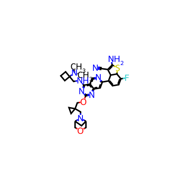 CN(C)C1(CNc2nc(OCC3(CN4C5COCC4C5)CC3)nc3cc(C4=CC=C(F)C5SC(N)=C(C#N)C45)ncc23)CCC1